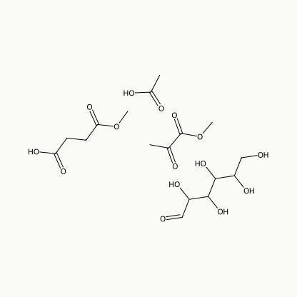 CC(=O)O.COC(=O)C(C)=O.COC(=O)CCC(=O)O.O=CC(O)C(O)C(O)C(O)CO